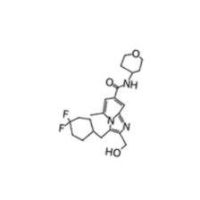 Cc1cc(C(=O)NC2CCOCC2)cc2nc(CO)c(CC3CCC(F)(F)CC3)n12